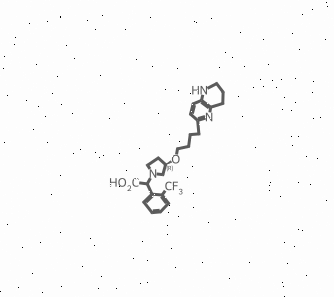 O=C(O)C(c1ccccc1C(F)(F)F)N1CC[C@@H](OCCCCc2ccc3c(n2)CCCN3)C1